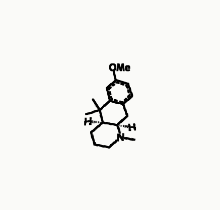 COc1ccc2c(c1)C(C)(C)[C@@H]1CCCN(C)[C@@H]1C2